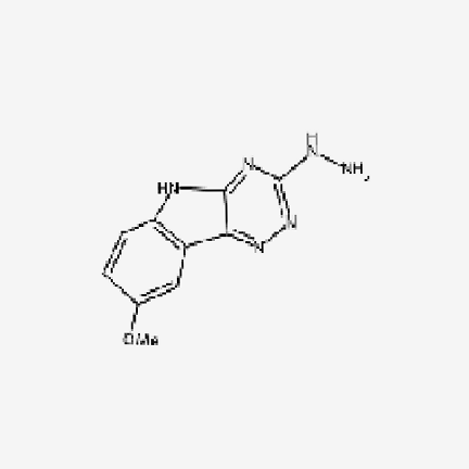 COc1ccc2[nH]c3nc(NN)nnc3c2c1